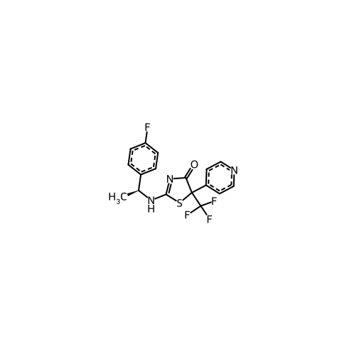 C[C@H](NC1=NC(=O)C(c2ccncc2)(C(F)(F)F)S1)c1ccc(F)cc1